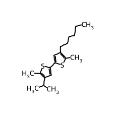 CCCCCCc1cc(-c2cc(C(C)C)c(C)s2)sc1C